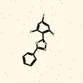 Fc1cc(F)c(-c2nnc(-c3ccccc3)o2)c(F)c1